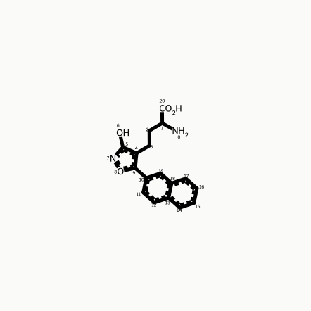 NC(CCc1c(O)noc1-c1ccc2ccccc2c1)C(=O)O